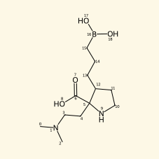 CN(C)CCC1(C(=O)O)NCCC1CCCB(O)O